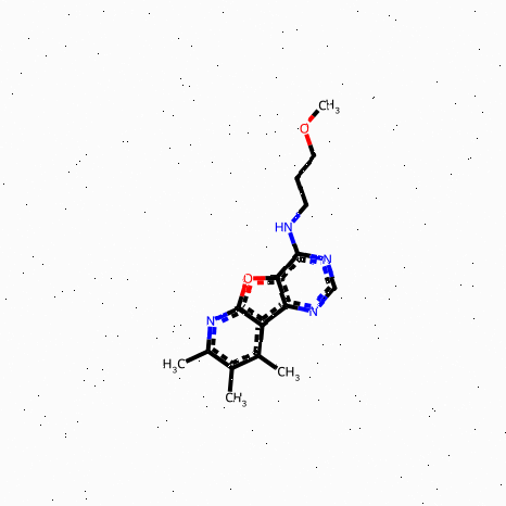 COCCCNc1ncnc2c1oc1nc(C)c(C)c(C)c12